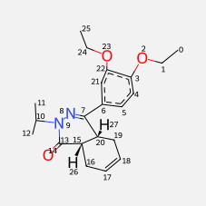 CCOc1ccc(C2=NN(C(C)C)C(=O)[C@H]3CC=CC[C@@H]23)cc1OCC